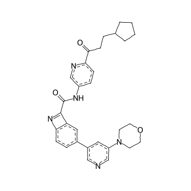 O=C(Nc1ccc(C(=O)CCC2CCCC2)nc1)C1=Nc2ccc(-c3cncc(N4CCOCC4)c3)cc21